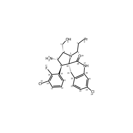 CC(C)CCN1[C@@H](CO)[C@@H](N)[C@H](c2cccc(Cl)c2F)[C@@]12Cc1ccc(Cl)cc1NC2=O